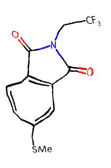 CSc1ccc2c(c1)C(=O)N(CC(F)(F)F)C2=O